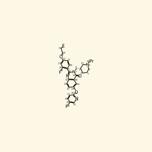 CC(C)N1CCC[C@H](Cn2c(-c3ccc(OCCF)cc3F)nc3ccc(Oc4ccc(F)cn4)cc3c2=O)C1